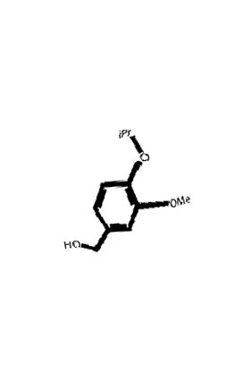 COc1cc(CO)ccc1OC(C)C